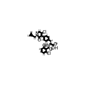 O=C(N[C@@H](Cc1ccc(-c2c(Cl)cnn(CC3CC3)c2=O)cc1)C(=O)O)c1c(Cl)cccc1Cl